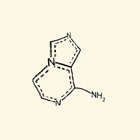 Nc1nccn2cncc12